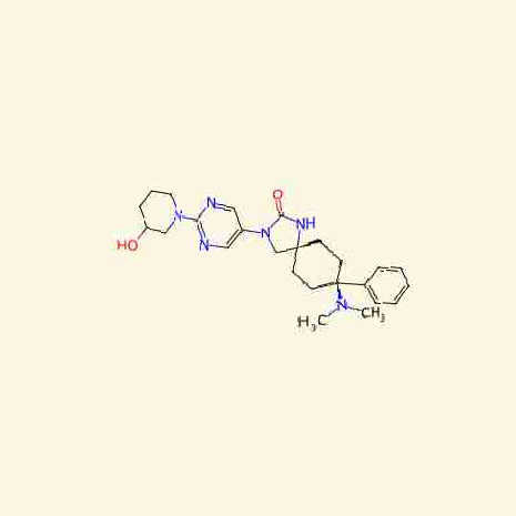 CN(C)[C@]1(c2ccccc2)CC[C@@]2(CC1)CN(c1cnc(N3CCCC(O)C3)nc1)C(=O)N2